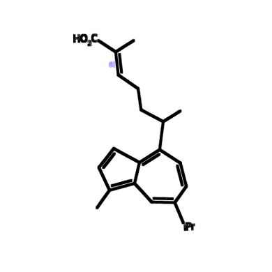 C/C(=C\CCC(C)c1ccc(C(C)C)cc2c(C)ccc1-2)C(=O)O